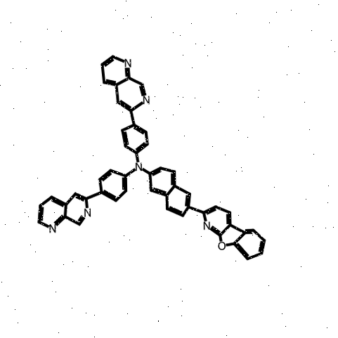 c1cnc2cnc(-c3ccc(N(c4ccc(-c5cc6cccnc6cn5)cc4)c4ccc5cc(-c6ccc7c(n6)oc6ccccc67)ccc5c4)cc3)cc2c1